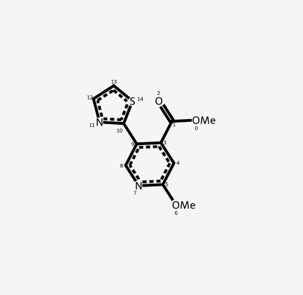 COC(=O)c1cc(OC)ncc1-c1nccs1